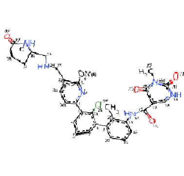 COc1nc(-c2cccc(-c3cccc(NC(=O)c4c[nH]c(=O)n(C)c4=O)c3C)c2Cl)ccc1CNCC1CCC(=O)N1